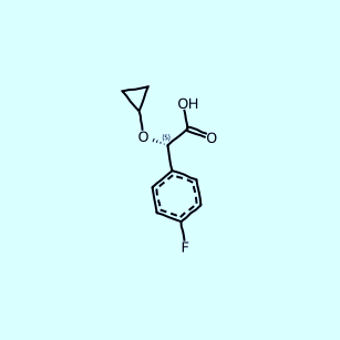 O=C(O)[C@@H](OC1CC1)c1ccc(F)cc1